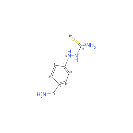 NCc1ccc(NNC(N)=S)cc1